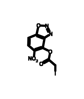 O=C(CI)Oc1c([N+](=O)[O-])ccc2onnc12